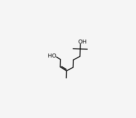 CC(=CCO)CCCC(C)(C)O